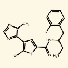 Cn1ncnc1-c1cc(C(=O)NC(CN)Cc2ccccc2F)sc1Cl